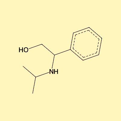 CC(C)NC(CO)c1ccccc1